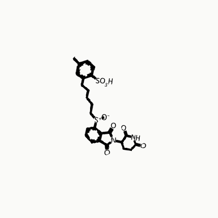 Cc1ccc(S(=O)(=O)O)c(CCCCC[S+]([O-])c2cccc3c2C(=O)N(C2CCC(=O)NC2=O)C3=O)c1